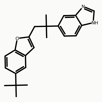 CC(C)(C)c1ccc2oc(CC(C)(C)c3ccc4[nH]cnc4c3)cc2c1